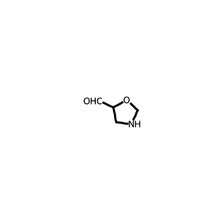 O=CC1CNCO1